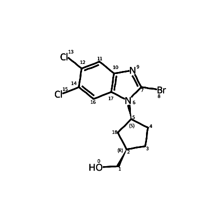 OC[C@@H]1CC[C@H](n2c(Br)nc3cc(Cl)c(Cl)cc32)C1